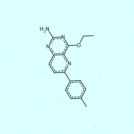 CCOc1nc(N)nc2ccc(-c3ccc(C)cc3)nc12